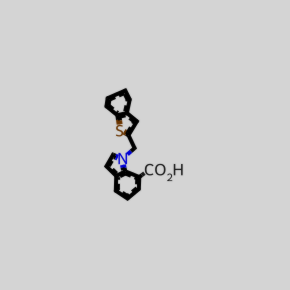 O=C(O)c1cccc2ccn(Cc3cc4ccccc4s3)c12